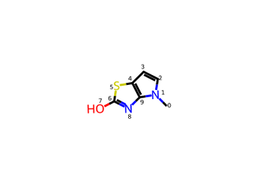 Cn1ccc2sc(O)nc21